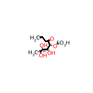 C=CCC(=O)[C@H](OS(=O)(=O)O)[C@@H](O)[C@H](O)[C@@H](C)O